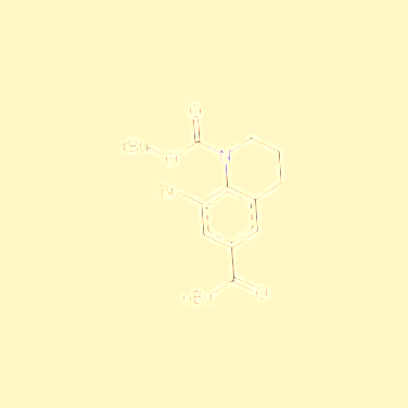 CCCCC(=O)c1cc(Br)c2c(c1)CCCN2C(=O)OC(C)(C)C